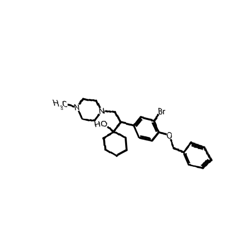 CN1CCN(CC(c2ccc(OCc3ccccc3)c(Br)c2)C2(O)CCCCC2)CC1